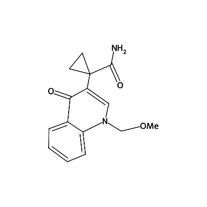 COCn1cc(C2(C(N)=O)CC2)c(=O)c2ccccc21